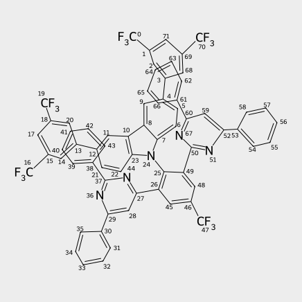 FC(F)(F)c1cc(-c2ccc3c(c2)c2cc(-c4cc(C(F)(F)F)cc(C(F)(F)F)c4)ccc2n3-c2c(-c3cc(-c4ccccc4)nc(-c4ccccc4)n3)cc(C(F)(F)F)cc2-c2nc(-c3ccccc3)cc(-c3ccccc3)n2)cc(C(F)(F)F)c1